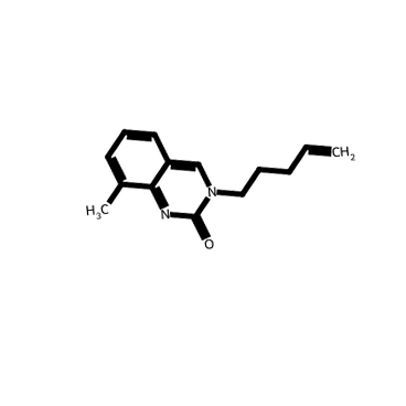 C=CCCCn1cc2cccc(C)c2nc1=O